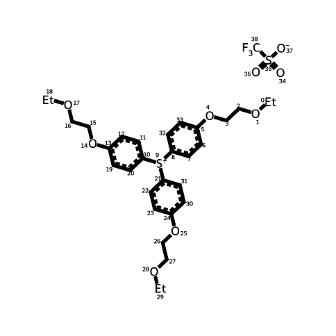 CCOCCOc1ccc([S+](c2ccc(OCCOCC)cc2)c2ccc(OCCOCC)cc2)cc1.O=S(=O)([O-])C(F)(F)F